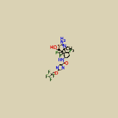 C[C@@]1(c2cc(NC(=O)c3cnc(OCC(F)(F)C(F)F)cn3)ccc2F)N=C(N)S[C@]2(CO)[C@@H]1C2(F)F